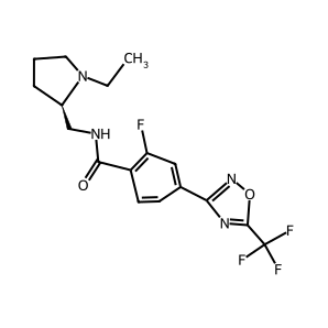 CCN1CCC[C@@H]1CNC(=O)c1ccc(-c2noc(C(F)(F)F)n2)cc1F